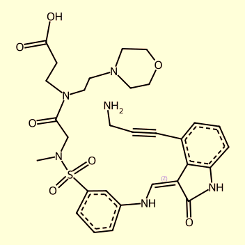 CN(CC(=O)N(CCC(=O)O)CCN1CCOCC1)S(=O)(=O)c1cccc(N/C=C2\C(=O)Nc3cccc(C#CCN)c32)c1